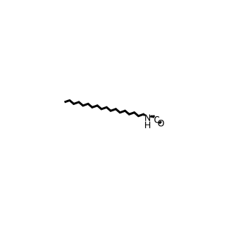 CCCCCCCCCCCCCCCCCCNC=C=O